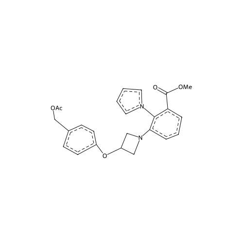 COC(=O)c1cccc(N2CC(Oc3ccc(COC(C)=O)cc3)C2)c1-n1cccc1